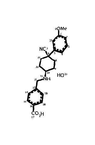 COc1cccc([C@]2(C#N)CC[C@@H](NCc3ccc(C(=O)O)cc3)CC2)c1.Cl